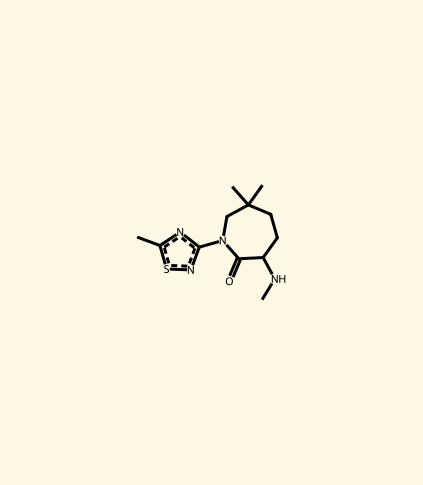 CNC1CCC(C)(C)CN(c2nsc(C)n2)C1=O